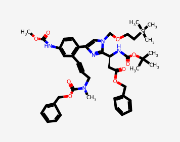 COC(=O)Nc1ccc(-c2cn(COCC[Si](C)(C)C)c([C@H](CC(=O)OCc3ccccc3)NC(=O)OC(C)(C)C)n2)c(C#CCN(C)C(=O)OCc2ccccc2)c1